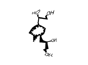 OCC(O)c1cccc(C(O)CO)c1